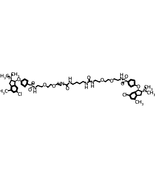 Cc1cc(Cl)cc2c1C[C@H](N(C)C)[C@H]2Oc1ccc(S(=O)(=O)NCCOCCOCCNC(=O)NCCCCNC(=O)NCCOCCOCCNS(=O)(=O)c2ccc(O[C@H]3c4cc(Cl)cc(C)c4C[C@@H]3N(C)C)cc2)cc1